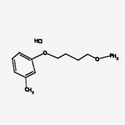 Cc1cccc(OCCCCOP)c1.Cl